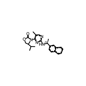 Cc1cnc(N[C@@H](C)c2ccc3ccccc3c2)nc1N1C(=O)OCC1C(C)C